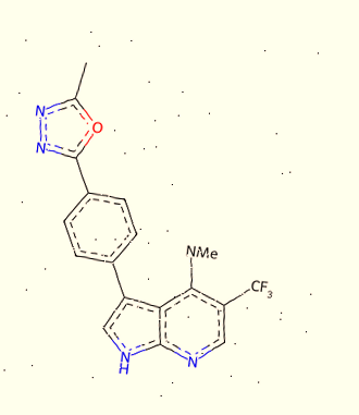 CNc1c(C(F)(F)F)cnc2[nH]cc(-c3ccc(-c4nnc(C)o4)cc3)c12